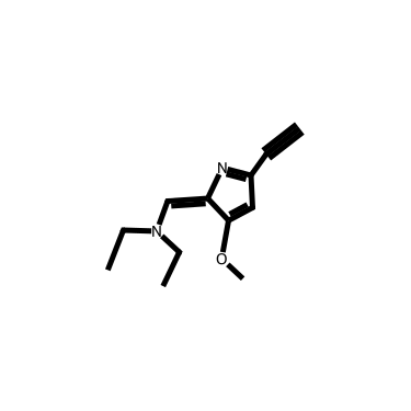 C#CC1=N/C(=C/N(CC)CC)C(OC)=C1